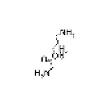 CNC.NCCCOC(=O)CN